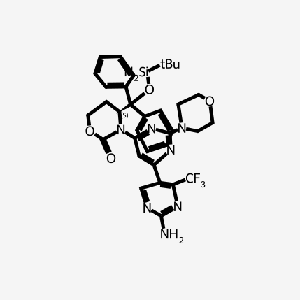 CC(C)(C)[SiH2]OC(c1ccccc1)(c1ccccc1)[C@@H]1CCOC(=O)N1c1cc(-c2cnc(N)nc2C(F)(F)F)nc(N2CCOCC2)n1